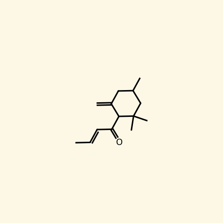 C=C1CC(C)CC(C)(C)C1C(=O)/C=C/C